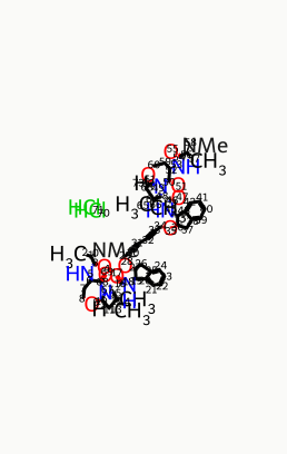 CN[C@@H](C)C(=O)N[C@H]1CCO[C@H]2CC(C)(C)[C@@H](C(=O)N[C@H]3c4ccccc4C[C@H]3OCC#CC#CCO[C@@H]3Cc4ccccc4[C@@H]3NC(=O)[C@H]3N4C(=O)[C@@H](NC(=O)[C@H](C)NC)CCO[C@H]4CC3(C)C)N2C1=O.Cl.Cl